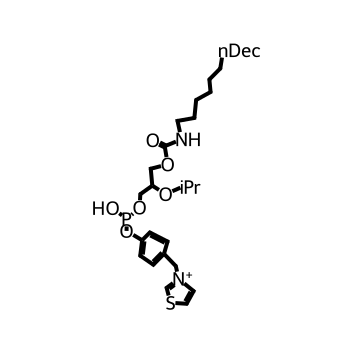 CCCCCCCCCCCCCCCCNC(=O)OCC(COP(O)Oc1ccc(C[n+]2ccsc2)cc1)OC(C)C